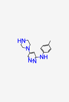 Cc1ccc(Nc2cc(N3CCNCC3)cnn2)cc1